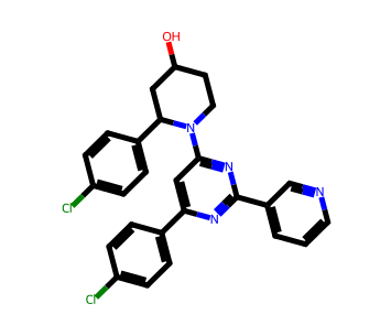 OC1CCN(c2cc(-c3ccc(Cl)cc3)nc(-c3cccnc3)n2)C(c2ccc(Cl)cc2)C1